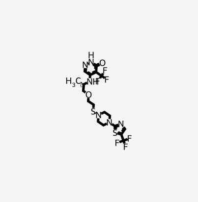 C[C@@H](COCCSN1CCN(c2ncc(C(F)(F)F)s2)CC1)Nc1cn[nH]c(=O)c1C(F)(F)F